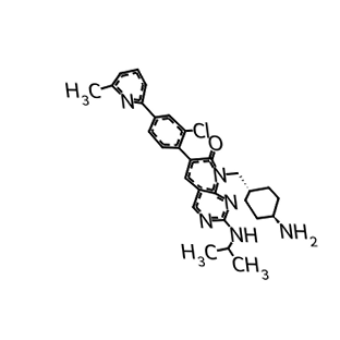 Cc1cccc(-c2ccc(-c3cc4cnc(NC(C)C)nc4n(C[C@H]4CC[C@H](N)CC4)c3=O)c(Cl)c2)n1